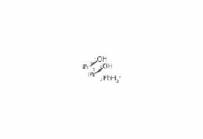 CC(C)O.CC(C)O.[PbH2]